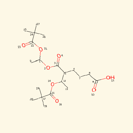 CC(OC(=O)C(CCCC(=O)O)C(C)OC(=O)C(C)(C)C)OC(=O)C(C)(C)C